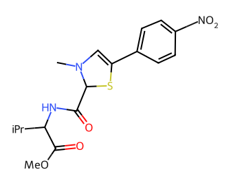 COC(=O)C(NC(=O)C1SC(c2ccc([N+](=O)[O-])cc2)=CN1C)C(C)C